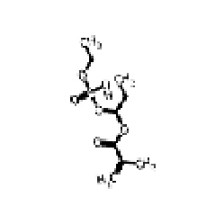 C=C(C)C(=O)OC(CC)OP(=O)(O)OCC